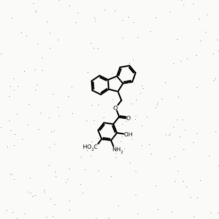 Nc1c(C(=O)O)ccc(C(=O)OCC2c3ccccc3-c3ccccc32)c1O